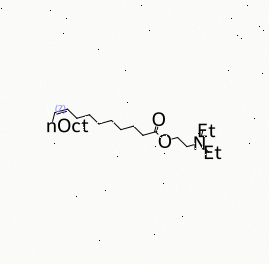 CCCCCCCC/C=C\CCCCCCCC(=O)OCCN(CC)CC